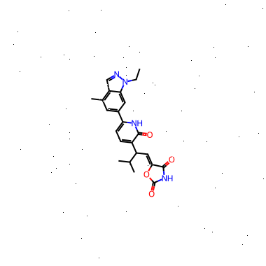 CCn1ncc2c(C)cc(-c3ccc(C(/C=C4\OC(=O)NC4=O)C(C)C)c(=O)[nH]3)cc21